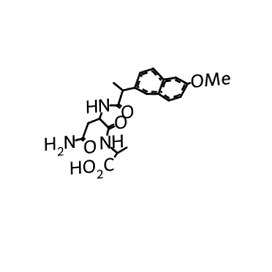 COc1ccc2cc(C(C)C(=O)NC(CC(N)=O)C(=O)NC(C)C(=O)O)ccc2c1